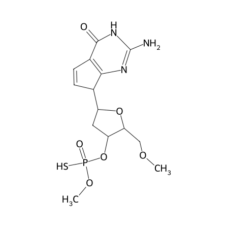 COCC1OC(C2C=Cc3c2nc(N)[nH]c3=O)CC1OP(=O)(S)OC